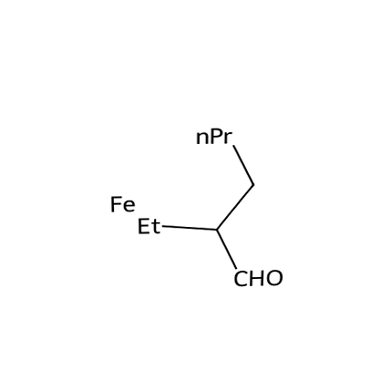 CCCCC(C=O)CC.[Fe]